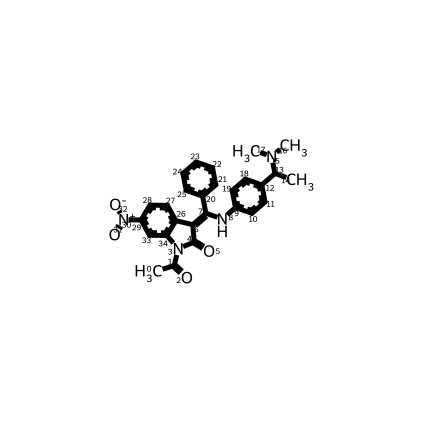 CC(=O)N1C(=O)/C(=C(\Nc2ccc(C(C)N(C)C)cc2)c2ccccc2)c2ccc([N+](=O)[O-])cc21